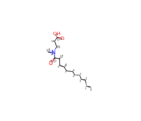 CCCCCCCCCCCC(=O)N(C)CCC(=O)O